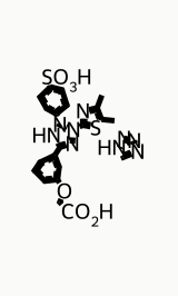 Cc1nc(N2N=C(c3cccc(OCC(=O)O)c3)NN2c2ccc(S(=O)(=O)O)cc2)sc1C.c1nnn[nH]1